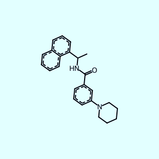 CC(NC(=O)c1cccc(N2CCCCC2)c1)c1cccc2ccccc12